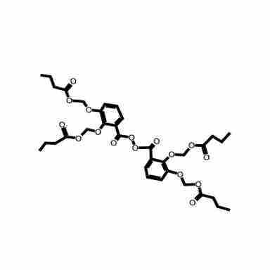 CCCC(=O)OCOc1cccc(C(=O)OOC(=O)c2cccc(OCOC(=O)CCC)c2OCOC(=O)CCC)c1OCOC(=O)CCC